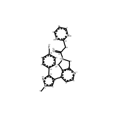 Cn1cc(-c2ccnc3c2CN(C(=O)Cc2ncccn2)C3)c(-c2ccc(F)cc2)n1